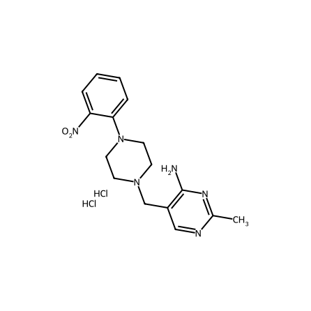 Cc1ncc(CN2CCN(c3ccccc3[N+](=O)[O-])CC2)c(N)n1.Cl.Cl